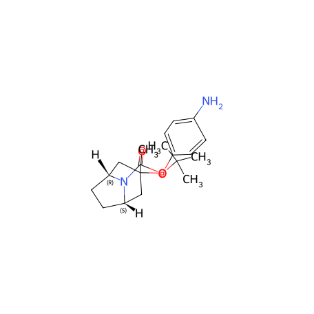 CC(C)(C)OC(=O)N1[C@@H]2CC[C@H]1CC(C)(Oc1ccc(N)cc1)C2